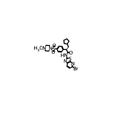 CN1CCN(S(=O)(=O)c2ccc([C@@H](CC3CCCC3)C(=O)Nc3nc4ccc(Br)nc4s3)cc2)CC1